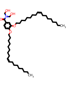 CCCCCCCC/C=C\CCCCCCCCOc1ccc(C(=O)N(CO)CO)cc1OCCCCCCCC/C=C\CCCCCCCC